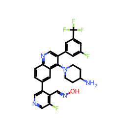 NC1CCN(c2c(-c3cc(F)cc(C(F)(F)F)c3)cnc3ccc(-c4cncc(F)c4C=NO)cc23)CC1